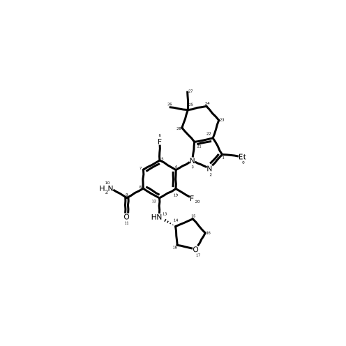 CCc1nn(-c2c(F)cc(C(N)=O)c(N[C@@H]3CCOC3)c2F)c2c1CCC(C)(C)C2